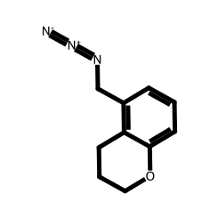 [N-]=[N+]=NCc1cccc2c1CCCO2